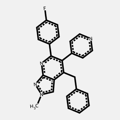 Cn1cc2c(Cc3ccccc3)c(-c3ccncc3)c(-c3ccc(F)cc3)nc2n1